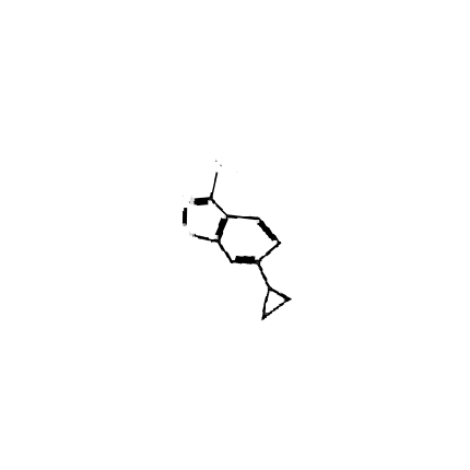 Nc1noc2cc(C3CC3)ccc12